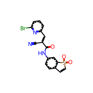 N#CC(=Cc1cccc(Br)n1)C(=O)Nc1ccc2c(c1)S(=O)(=O)C=C2